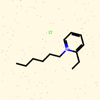 CCCCCC[n+]1ccccc1CC.[Cl-]